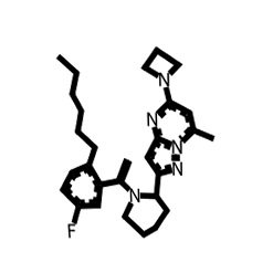 C=C(c1cc(F)ccc1CCCCCC)N1CCCCC1c1cc2nc(N3CCC3)cc(C)n2n1